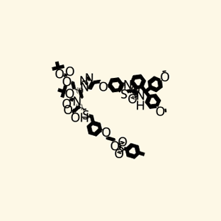 COc1ccc(C(NS(=O)(=O)c2nc3ccc(OCc4cn([C@@H](CCOC(=O)OC(C)(C)C)CN(C(=O)OC(C)(C)C)[C@H](CSCc5cccc(OCCOS(=O)(=O)c6ccc(C)cc6)c5)C(=O)O)nn4)cc3s2)(c2ccccc2)c2ccc(OC)cc2)cc1